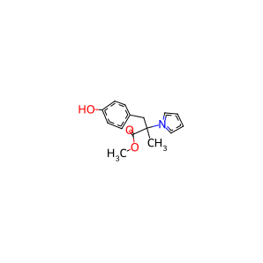 COC(=O)C(C)(Cc1ccc(O)cc1)n1cccc1